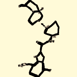 Cc1ccc(F)c2c1NC(C(=O)N[C@@H]1CCC[C@@H](N3CCN4C(=O)CC[C@H]4C3)C1)C2